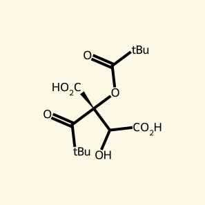 CC(C)(C)C(=O)O[C@@](C(=O)O)(C(=O)C(C)(C)C)C(O)C(=O)O